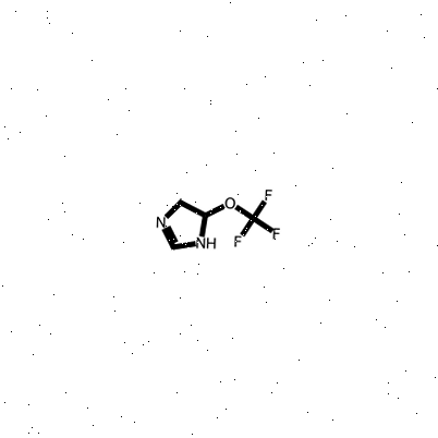 FC(F)(F)OC1[CH]N=CN1